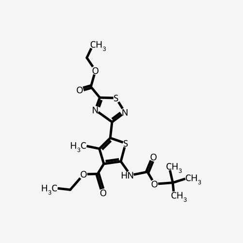 CCOC(=O)c1nc(-c2sc(NC(=O)OC(C)(C)C)c(C(=O)OCC)c2C)ns1